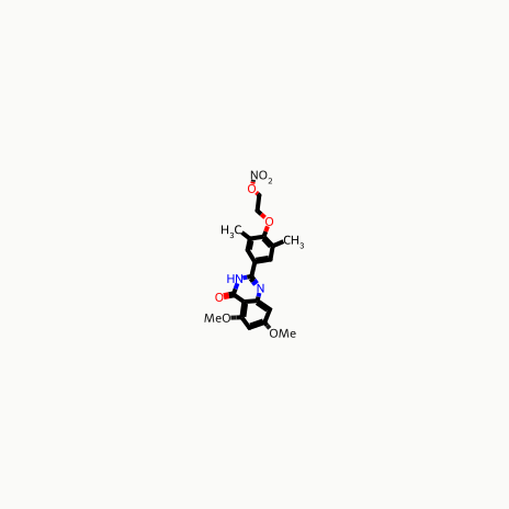 COc1cc(OC)c2c(=O)[nH]c(-c3cc(C)c(OCCO[N+](=O)[O-])c(C)c3)nc2c1